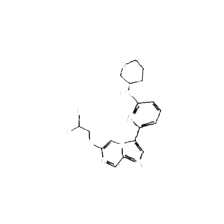 FC(F)COc1cn2c(-c3cccc(N[C@@H]4CCCNC4)n3)cnc2cn1